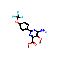 COC(=O)c1nc(-c2ccc(OC(F)(F)F)cc2)nc(N)c1OC